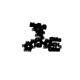 COC(=O)c1cn(C[C@H](OCCc2ccccc2)[C@@H](O)c2cc(OC)c(C)c(OC)c2)cc1CC(=O)O